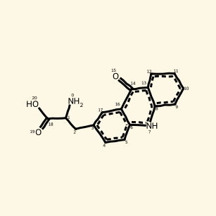 NC(Cc1ccc2[nH]c3ccccc3c(=O)c2c1)C(=O)O